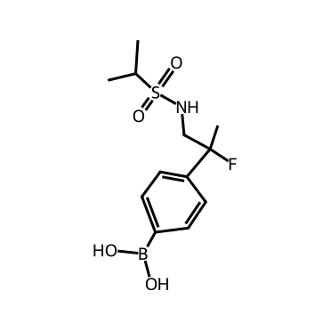 CC(C)S(=O)(=O)NCC(C)(F)c1ccc(B(O)O)cc1